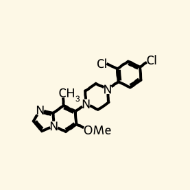 COc1cn2ccnc2c(C)c1N1CCN(c2ccc(Cl)cc2Cl)CC1